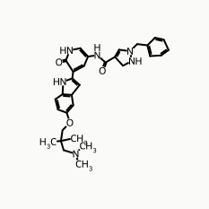 CN(C)CC(C)(C)COc1ccc2[nH]c(-c3cc(NC(=O)C4=CN(Cc5ccccc5)NC4)c[nH]c3=O)cc2c1